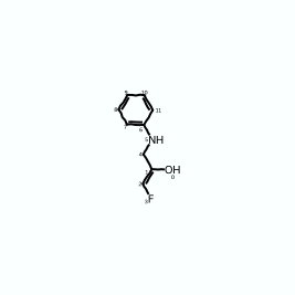 OC(=CF)CNc1ccccc1